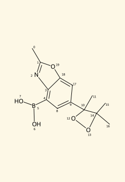 Cc1nc2c(B(O)O)cc(C3(C)OOC3(C)C)cc2o1